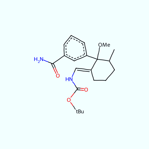 COC1(c2cccc(C(N)=O)c2)/C(=C/NC(=O)OC(C)(C)C)CCCC1C